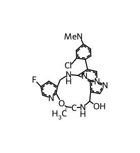 CNc1ccc(-c2cn3ncc4c3nc2NCc2cc(F)cnc2O[C@@H](C)CNC4O)c(Cl)c1